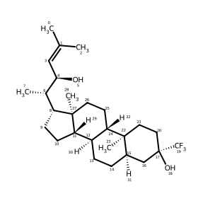 CC(C)=C[C@@H](O)[C@@H](C)[C@H]1CC[C@H]2[C@@H]3CC[C@@H]4C[C@@](O)(C(F)(F)F)CC[C@]4(C)[C@H]3CC[C@]12C